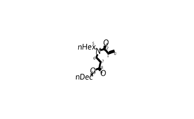 C=CC(=O)N(CCCCCC)CCC(=O)OCCCCCCCCCC